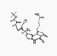 CC(CN(C1CC1)S(=O)(=O)c1ccc2[nH]c(=O)c3[nH]cc(CCCC(=O)O)c3c2c1)NC(=O)OC(C)(C)C